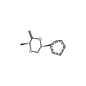 C=C1O[C@@H](c2ccccc2)CO[C@H]1C